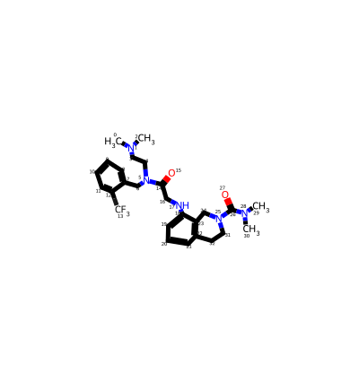 CN(C)CCN(Cc1ccccc1C(F)(F)F)C(=O)CNc1cccc2c1CN(C(=O)N(C)C)CC2